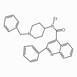 CCN(C(=O)c1cc(-c2ccccc2)nc2ccccc12)C1CCN(Cc2ccccc2)CC1